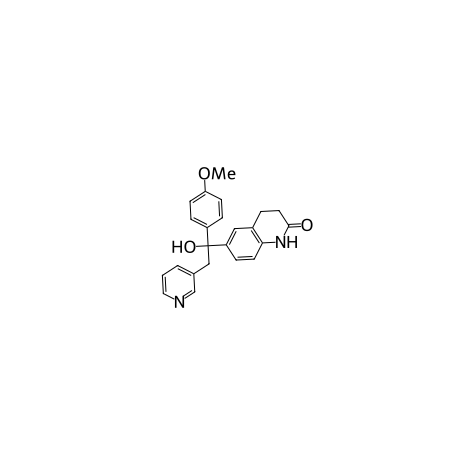 COc1ccc(C(O)(Cc2cccnc2)c2ccc3c(c2)CCC(=O)N3)cc1